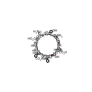 CCCC[C@H]1C(=O)N(C)[C@@H](CCCC)C(=O)N[C@@H](CCC(=O)O)C(=O)N[C@H](C(=O)NCC(N)=O)CSCC(=O)N[C@@H](Cc2ccc(O)cc2)C(=O)N(C)[C@@H](C)C(=O)N[C@@H](CC(N)=O)C(=O)N2CCC[C@H]2C(=O)N[C@@H](Cc2cnc[nH]2)C(=O)N[C@@H](CCC(=O)O)C(=O)N2C[C@H](O)C[C@H]2C(=O)N[C@@H](Cc2c[nH]c3ccccc23)C(=O)N[C@@H](CCC(=O)O)C(=O)N[C@@H](Cc2c[nH]c3ccccc23)C(=O)N1C